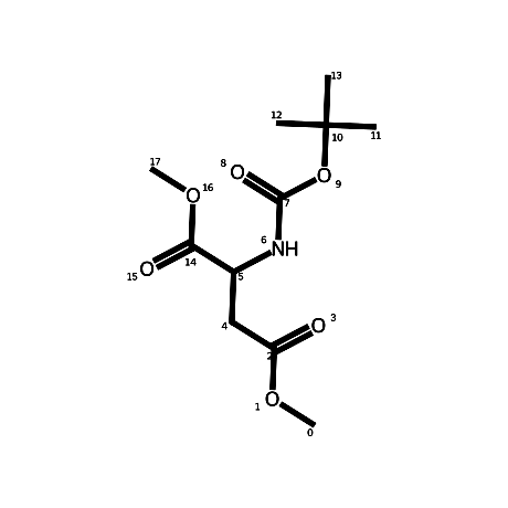 COC(=O)CC(NC(=O)OC(C)(C)C)C(=O)OC